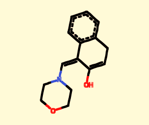 OC1=CCc2ccccc2C1=CN1CCOCC1